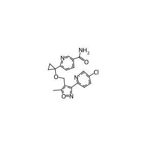 Cc1onc(-c2ccc(Cl)cn2)c1COC1(c2ccc(C(N)=O)cn2)CC1